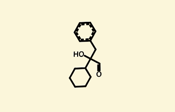 O=CC(O)(Cc1ccccc1)C1CCCCC1